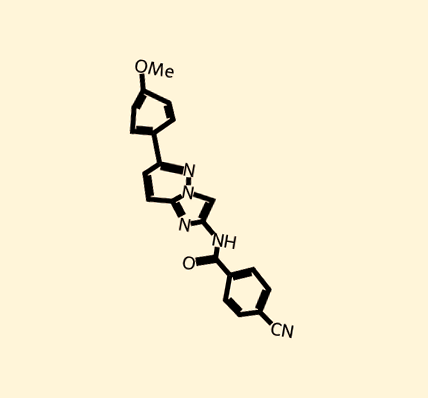 COc1ccc(-c2ccc3nc(NC(=O)c4ccc(C#N)cc4)cn3n2)cc1